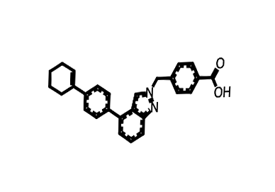 O=C(O)c1ccc(Cn2cc3c(-c4ccc(C5=CCCCC5)cc4)cccc3n2)cc1